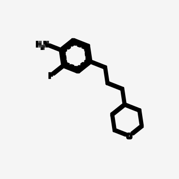 Nc1ccc(CCCC2CCOCC2)cc1F